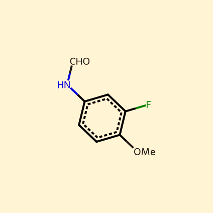 COc1ccc(NC=O)cc1F